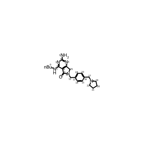 CCCCNc1nc(N)nc2c1C(=O)N(Cc1ccc(CN3CCCC3)cc1)C2